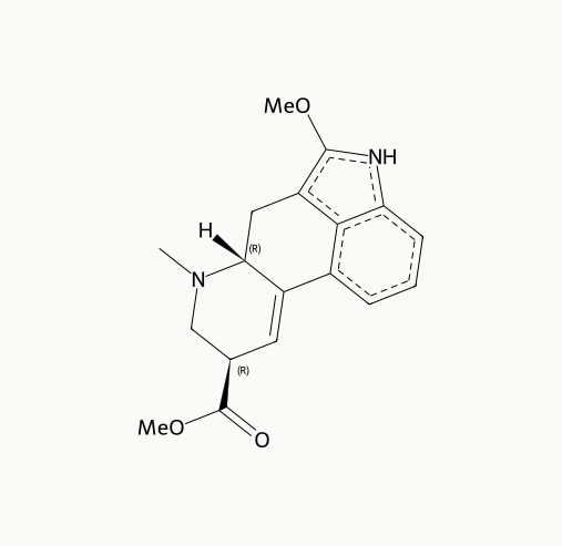 COC(=O)[C@@H]1C=C2c3cccc4[nH]c(OC)c(c34)C[C@H]2N(C)C1